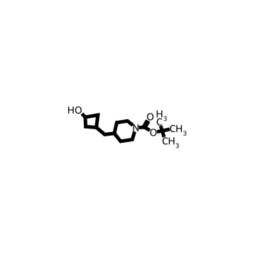 CC(C)(C)OC(=O)N1CCC(CC2CC(O)C2)CC1